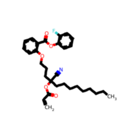 C=CC(=O)OC(C#N)(CCCCCCCCC)CCCOc1ccccc1C(=O)Oc1cc[c]cc1F